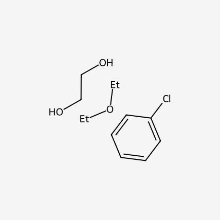 CCOCC.Clc1ccccc1.OCCO